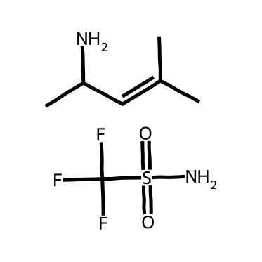 CC(C)=CC(C)N.NS(=O)(=O)C(F)(F)F